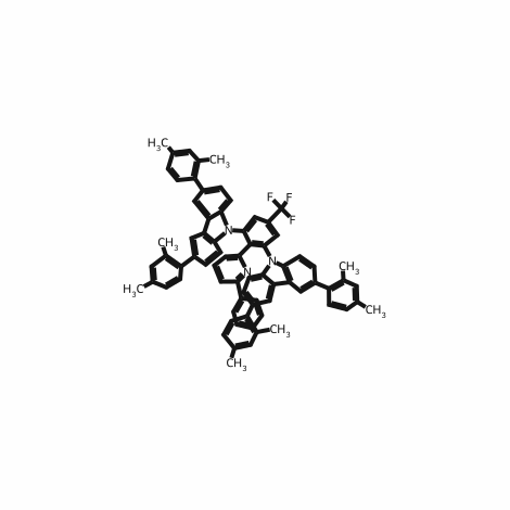 Cc1ccc(-c2ccc3c(c2)c2cc(-c4ccc(C)cc4C)ccc2n3-c2cc(C(F)(F)F)cc(-n3c4ccc(-c5ccc(C)cc5C)cc4c4cc(-c5ccc(C)cc5C)ccc43)c2-c2cccc(-c3ccccc3)n2)c(C)c1